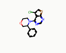 Clc1csc2ncnc(N3CCOCC3c3ccccc3)c12